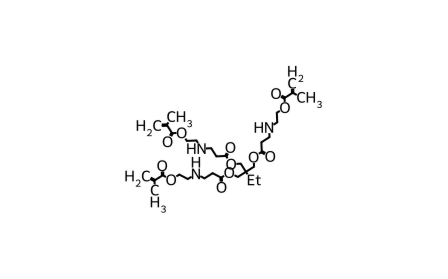 C=C(C)C(=O)OCCNCCC(=O)OCC(CC)(COC(=O)CCNCCOC(=O)C(=C)C)COC(=O)CCNCCOC(=O)C(=C)C